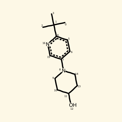 CC(C)(C)c1ccc(N2CCC(O)CC2)cn1